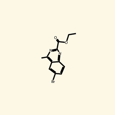 CCOC(=O)c1nc(C)c2cc(Br)ccc2n1